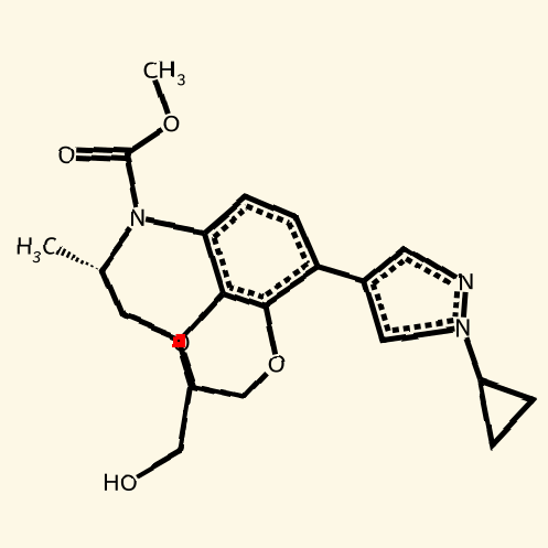 COC(=O)N1c2ccc(-c3cnn(C4CC4)c3)c3c2C2(C[C@@H]1C)OCC2(CO)CO3